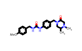 COc1ccc(CNC(=O)Nc2ccc(CN3CC(C)N(C)CC3=O)cc2)cc1